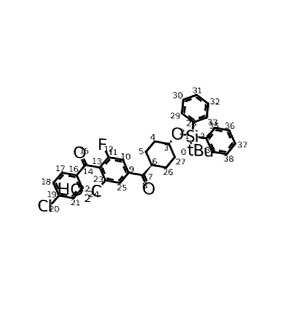 CC(C)(C)[Si](O[C@H]1CC[C@H](C(=O)c2cc(F)c(C(=O)c3ccc(Cl)cc3)c(C(=O)O)c2)CC1)(c1ccccc1)c1ccccc1